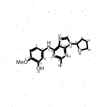 COc1ccc(Nc2nc(F)nc3c2ncn3C2CCCO2)cc1O